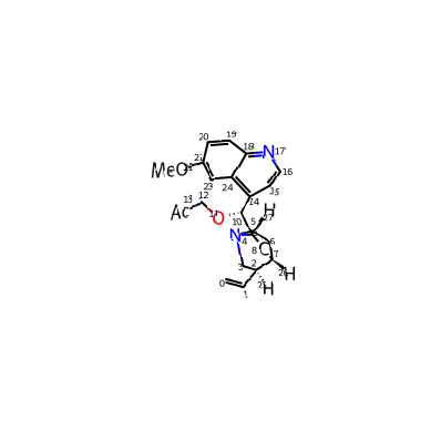 C=C[C@H]1CN2CC[C@H]1C[C@H]2[C@H](OCC(C)=O)c1ccnc2ccc(OC)cc12